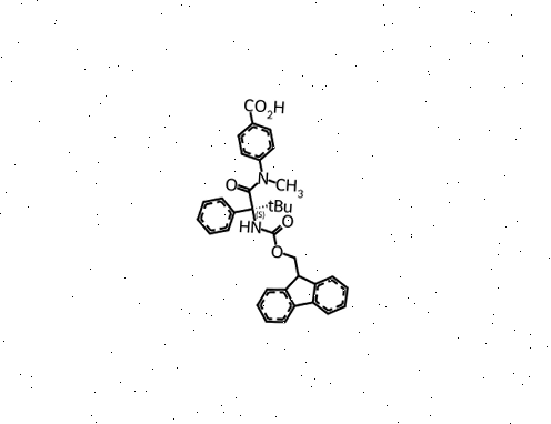 CN(C(=O)[C@@](NC(=O)OCC1c2ccccc2-c2ccccc21)(c1ccccc1)C(C)(C)C)c1ccc(C(=O)O)cc1